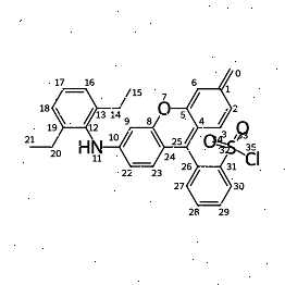 C=c1ccc2c(c1)Oc1cc(Nc3c(CC)cccc3CC)ccc1C=2c1ccccc1S(=O)(=O)Cl